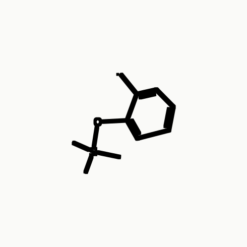 [CH2]c1ccccc1O[Si](C)(C)C